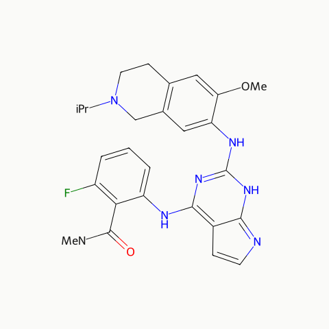 CNC(=O)c1c(F)cccc1Nc1nc(Nc2cc3c(cc2OC)CCN(C(C)C)C3)[nH]c2nccc1-2